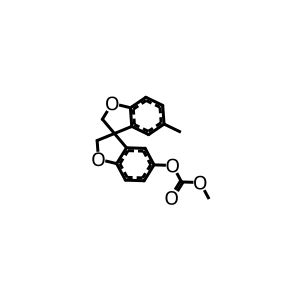 COC(=O)Oc1ccc2c(c1)C1(COc3ccc(C)cc31)CO2